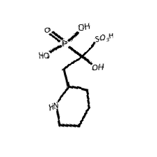 O=P(O)(O)C(O)(CC1CCCCN1)S(=O)(=O)O